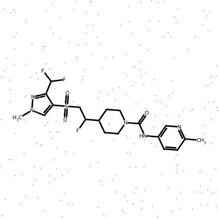 Cc1ccc(NC(=O)N2CCC(C(F)CS(=O)(=O)c3cn(C)nc3C(F)F)CC2)cn1